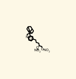 NCC1(c2cccc(CCCC(CO[N+](=O)[O-])O[N+](=O)[O-])c2)C2CC3CC(C2)CC1C3